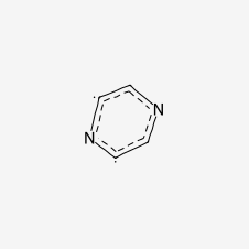 [c]1cnc[c]n1